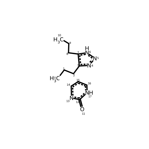 CCCc1nn[nH]c1CCC.O=c1nccc[nH]1